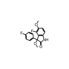 COc1ccc2c(c1F)C(OC)(c1ccc(F)cc1)C(=O)N2